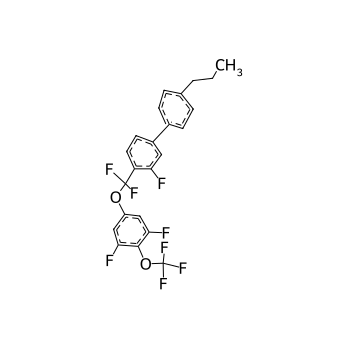 CCCc1ccc(-c2ccc(C(F)(F)Oc3cc(F)c(OC(F)(F)F)c(F)c3)c(F)c2)cc1